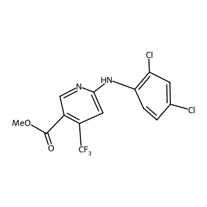 COC(=O)c1cnc(Nc2ccc(Cl)cc2Cl)cc1C(F)(F)F